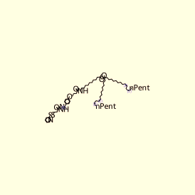 CCCCC/C=C\C/C=C\CCCCCCCCC1(CCCCCCCC/C=C\C/C=C\CCCCC)OCC(CCCCCCCCCNC(=O)CCCOc2ccc(/C(C)=N/NC(=O)CCSSc3ccccn3)cc2)O1